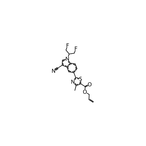 C=CCOC(=O)c1sc(-c2ccc3c(c2)c(C#N)cn3C(CF)CF)nc1C